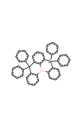 c1ccc(C2(c3ccccc3)c3ccccc3B3c4ccccc4[Si](c4ccccc4)(c4ccccc4)c4cccc2c43)cc1